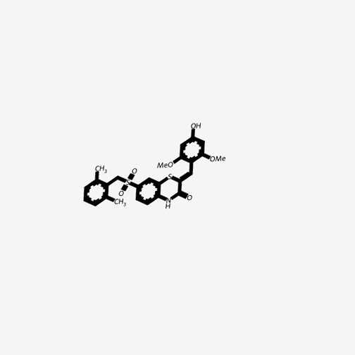 COc1cc(O)cc(OC)c1C=C1Sc2cc(S(=O)(=O)Cc3c(C)cccc3C)ccc2NC1=O